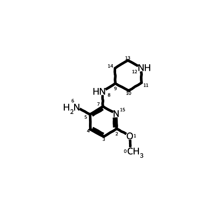 COc1ccc(N)c(NC2CCNCC2)n1